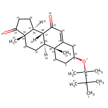 CC(C)(C)[Si](C)(C)O[C@H]1CC[C@@]2(C)C(=CC(=O)[C@@H]3[C@@H]2CC[C@]2(C)C(=O)CC[C@@H]32)C1